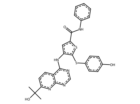 CC(C)(O)c1ccc2c(Nc3cc(C(=O)Nc4ccccc4)sc3Sc3ccc(O)cc3)ncnc2n1